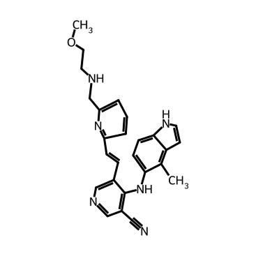 COCCNCc1cccc(/C=C/c2cncc(C#N)c2Nc2ccc3[nH]ccc3c2C)n1